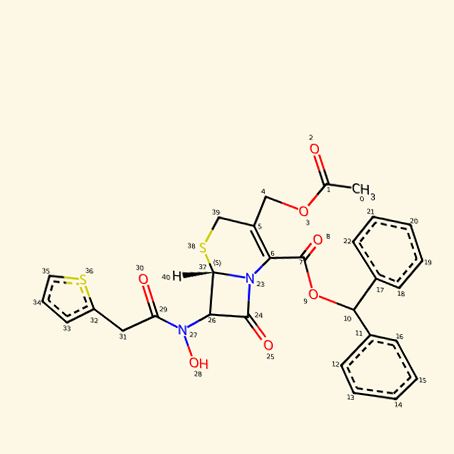 CC(=O)OCC1=C(C(=O)OC(c2ccccc2)c2ccccc2)N2C(=O)C(N(O)C(=O)Cc3cccs3)[C@@H]2SC1